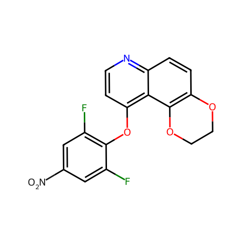 O=[N+]([O-])c1cc(F)c(Oc2ccnc3ccc4c(c23)OCCO4)c(F)c1